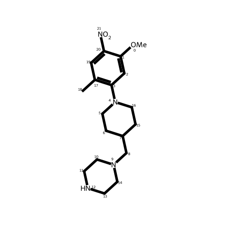 COc1cc(N2CCC(CN3CCNCC3)CC2)c(C)cc1[N+](=O)[O-]